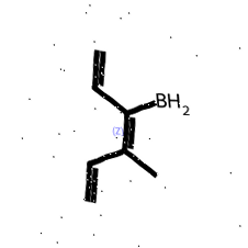 B/C(C=C)=C(\C)C=C